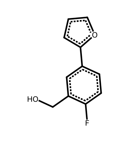 OCc1cc(-c2ccco2)ccc1F